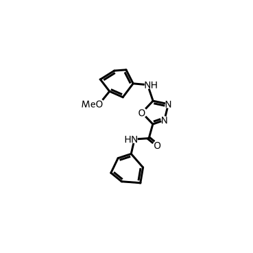 COc1cccc(Nc2nnc(C(=O)Nc3ccccc3)o2)c1